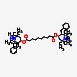 CC1(C)CC(OC(=O)CCCCCCCCC(=O)OC2CC(C)(C)NC(C)(C)C2=Cc2ccccc2)C(=Cc2ccccc2)C(C)(C)N1